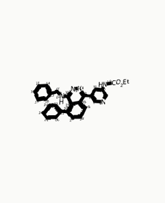 CCOC(=O)Nc1cncc(-c2nnc(NCc3ccccc3)c3c(-c4ccccc4)cccc23)c1